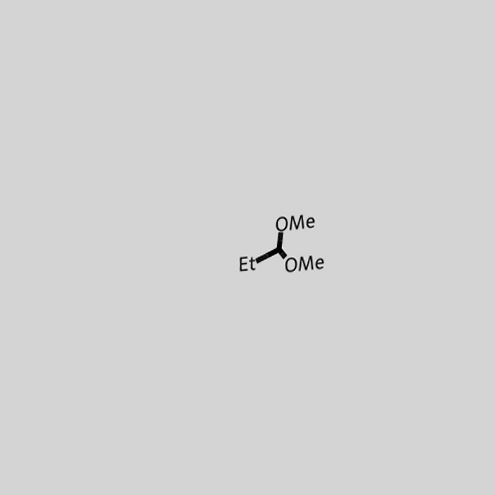 [CH2]OC(CC)OC